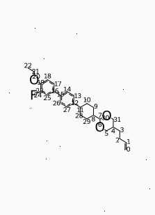 C=CCCC1COC(C2CCC(c3ccc(-c4ccc(OCC)c(F)c4)cc3)CC2)OC1